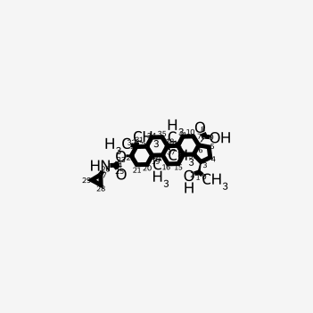 CC(O)[C@@H]1CC[C@]2(C(=O)O)CC[C@]3(C)C(CCC4[C@@]5(C)CC[C@@H](OC(=O)NC6CC6)C(C)(C)C5CC[C@]43C)C12